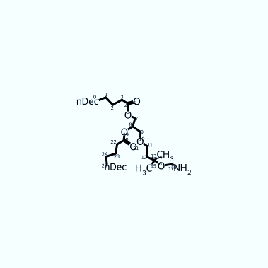 CCCCCCCCCCCCCC(=O)OCC(COCCC(C)(C)OCN)OC(=O)CCCCCCCCCCCCC